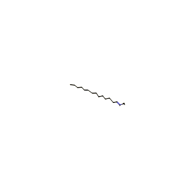 CCCCCCCCCCCCCC/C=C(\C)C(=O)O